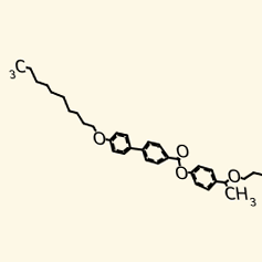 CCCCCCCCCCOc1ccc(-c2ccc(C(=O)Oc3ccc(C(C)OCCCC)cc3)cc2)cc1